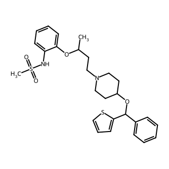 CC(CCN1CCC(OC(c2ccccc2)c2cccs2)CC1)Oc1ccccc1NS(C)(=O)=O